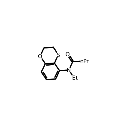 CCCC(=O)N(CC)c1cccc2c1SCCO2